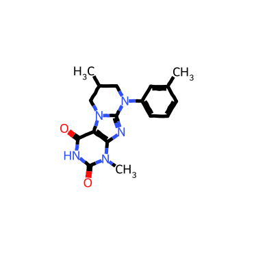 Cc1cccc(N2CC(C)Cn3c2nc2c3c(=O)[nH]c(=O)n2C)c1